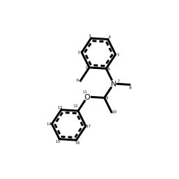 Cc1ccccc1N(C)C(C)Oc1ccccc1